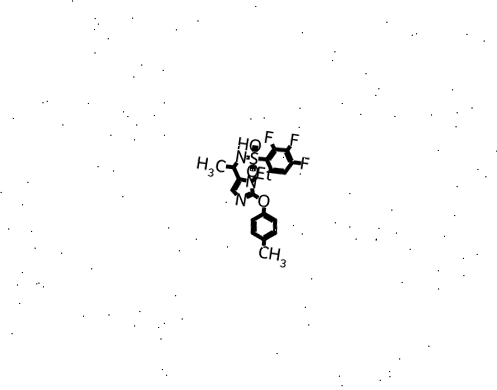 CCn1c(C(C)NS(=O)(=O)c2ccc(F)c(F)c2F)cnc1Oc1ccc(C)cc1